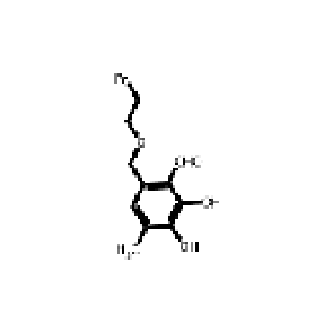 Cc1cc(COCCC(C)C)c(C=O)c(O)c1O